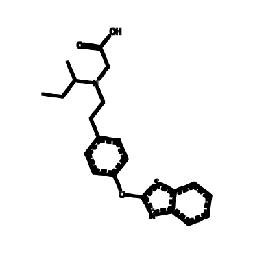 CCC(C)N(CCc1ccc(Oc2nc3ccccc3s2)cc1)CC(=O)O